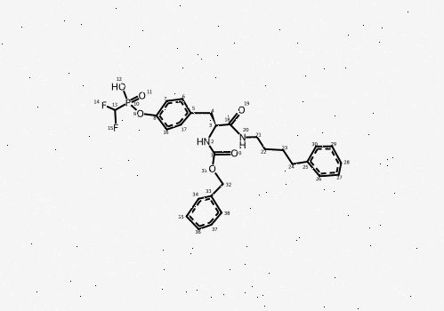 O=C(N[C@@H](Cc1ccc(OP(=O)(O)C(F)F)cc1)C(=O)NCCCCc1ccccc1)OCc1ccccc1